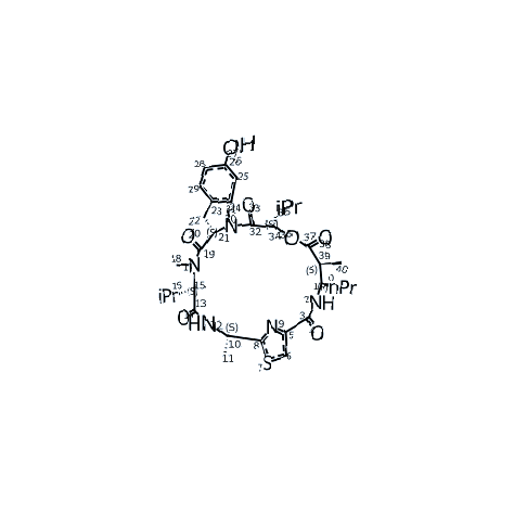 CCC[C@H]1NC(=O)c2csc(n2)[C@H](C)NC(=O)[C@H](C(C)C)N(C)C(=O)[C@H](Cc2ccc(O)cc2)N(C)C(=O)[C@H](C(C)C)OC(=O)[C@H]1C